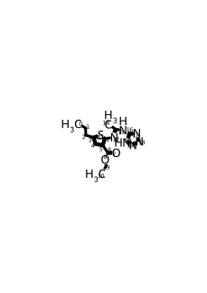 CCCc1cc(C(=O)OCC)c(/N=C(\C)Nc2nnn[nH]2)s1